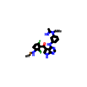 CCCSNc1ccc(F)c(C(=O)c2c[nH]c3ncnc(Nc4cccc(N(NC)C(C)=N)c4)c23)c1F